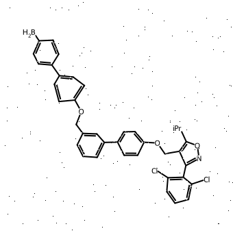 Bc1ccc(-c2ccc(OCc3cccc(-c4ccc(OCc5c(-c6c(Cl)cccc6Cl)noc5C(C)C)cc4)c3)cc2)cc1